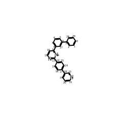 c1ccc(-c2cccc(-c3ccnc(-c4ccc(-c5cccnc5)cc4)n3)c2)cc1